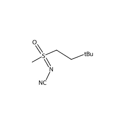 CC(C)(C)CCS(C)(=O)=NC#N